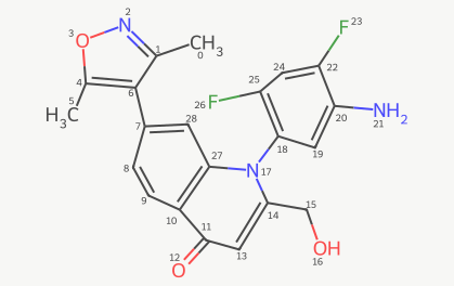 Cc1noc(C)c1-c1ccc2c(=O)cc(CO)n(-c3cc(N)c(F)cc3F)c2c1